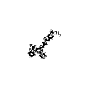 CC(=O)N1CCC(CC(=O)N2CC(COc3cc(-n4c(C(F)F)nc5ccccc54)nc(N4CCOCC4)n3)C2)CC1